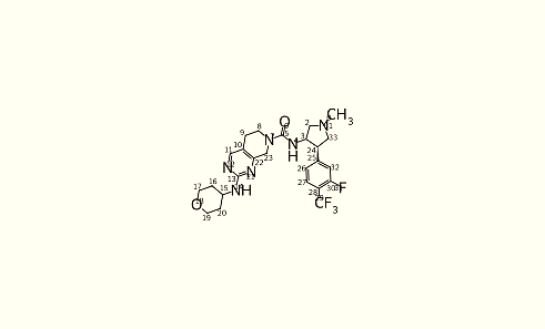 CN1CC(NC(=O)N2CCc3cnc(NC4CCOCC4)nc3C2)[C@H](c2ccc(C(F)(F)F)c(F)c2)C1